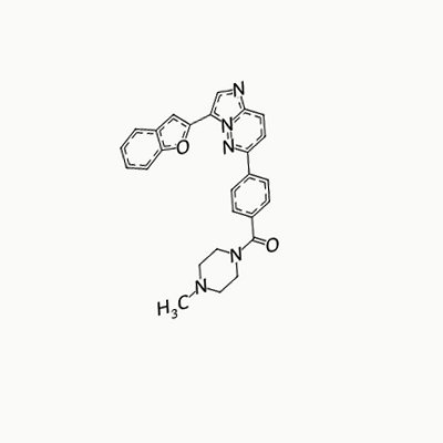 CN1CCN(C(=O)c2ccc(-c3ccc4ncc(-c5cc6ccccc6o5)n4n3)cc2)CC1